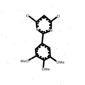 COc1cc(-c2nc(Cl)cc(Cl)n2)cc(OC)c1OC